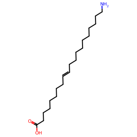 NCCCCCCCCCC/C=C/CCCCCCCC(=O)O